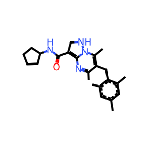 CC1=NC2=C(C(=O)NC3CCCC3)CNN2C(C)=C1Cc1c(C)cc(C)cc1C